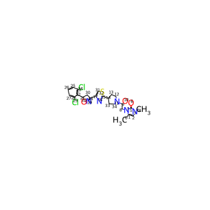 Cc1cn(C)c(=O)n1CC(=O)N1CCC(c2nc(C3=NOC(c4c(Cl)cccc4Cl)C3)cs2)CC1